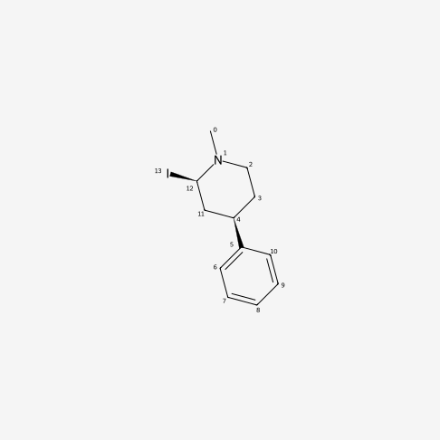 CN1CC[C@@H](c2ccccc2)C[C@H]1I